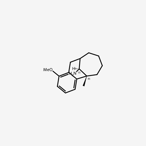 COc1cccc2c1CC1CCCC[C@@]2(C)[C@H]1N